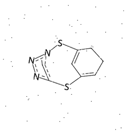 [CH]1CC=C2C=C1Sn1cc(nn1)S2